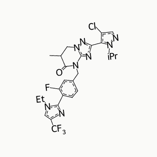 CCn1cc(C(F)(F)F)nc1-c1ccc(CN2C(=O)C(C)Cn3nc(-c4c(Cl)cnn4C(C)C)nc32)cc1F